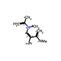 C=C(NC)/C(=C\N(C)C(=C)C)C(C)C